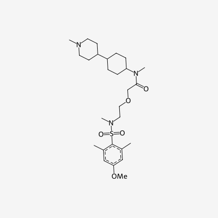 COc1cc(C)c(S(=O)(=O)N(C)CCOCC(=O)N(C)C2CCC(C3CCN(C)CC3)CC2)c(C)c1